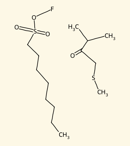 CCCCCCCCS(=O)(=O)OF.CSCC(=O)C(C)C